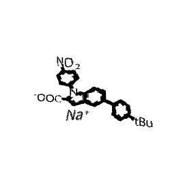 CC(C)(C)c1ccc(-c2ccc3c(c2)cc(C(=O)[O-])n3-c2ccc([N+](=O)[O-])cc2)cc1.[Na+]